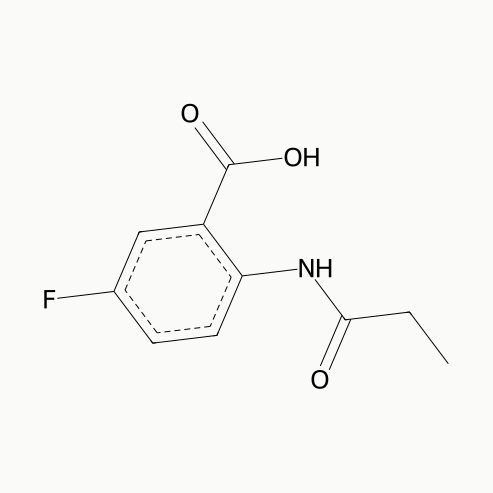 CCC(=O)Nc1ccc(F)cc1C(=O)O